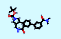 CN(C)C(=O)c1cccc(-c2ccc3c(c2)C(=O)NCC2CN(C(=O)OC(C)(C)C)CC32)c1